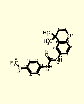 CC1(C)CCOc2ccc(NC(=O)Nc3ccc(OC(F)(F)F)cc3)cc21